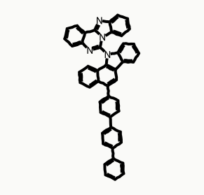 c1ccc(-c2ccc(-c3ccc(-c4cc5c6ccccc6n(-c6nc7ccccc7c7nc8ccccc8n67)c5c5ccccc45)cc3)cc2)cc1